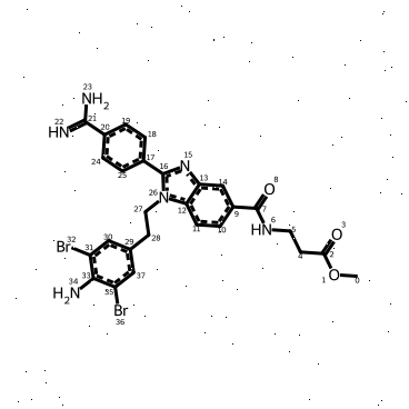 COC(=O)CCNC(=O)c1ccc2c(c1)nc(-c1ccc(C(=N)N)cc1)n2CCc1cc(Br)c(N)c(Br)c1